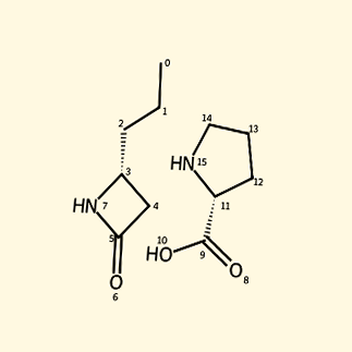 CCC[C@@H]1CC(=O)N1.O=C(O)[C@H]1CCCN1